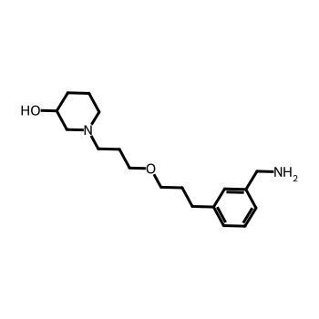 NCc1cccc(CCCOCCCN2CCCC(O)C2)c1